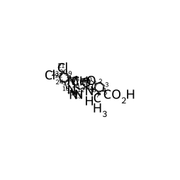 COc1ccc(C(=O)O)c(C)c1NC(=O)c1nnn(Cc2ccc(Cl)c(Cl)c2)c1C